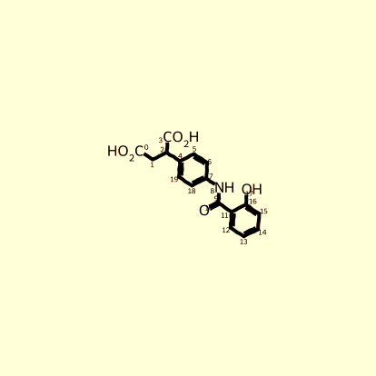 O=C(O)CC(C(=O)O)c1ccc(NC(=O)c2ccccc2O)cc1